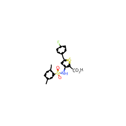 Cc1ccc(C)c(S(=O)(=O)Nc2cc(-c3ccc(F)cc3)sc2C(=O)O)c1